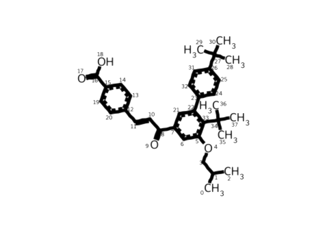 CC(C)COc1cc(C(=O)/C=C/c2ccc(C(=O)O)cc2)cc(-c2ccc(C(C)(C)C)cc2)c1C(C)(C)C